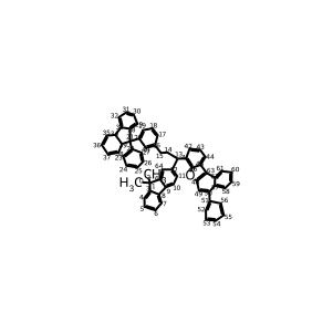 CC1(C)c2ccccc2-c2ccc(C(CCc3cccc(C4(c5ccccc5)c5ccccc5C5C=CC=CC54)c3)c3cccc4c3oc3cc(-c5ccccc5)c5ccccc5c34)cc21